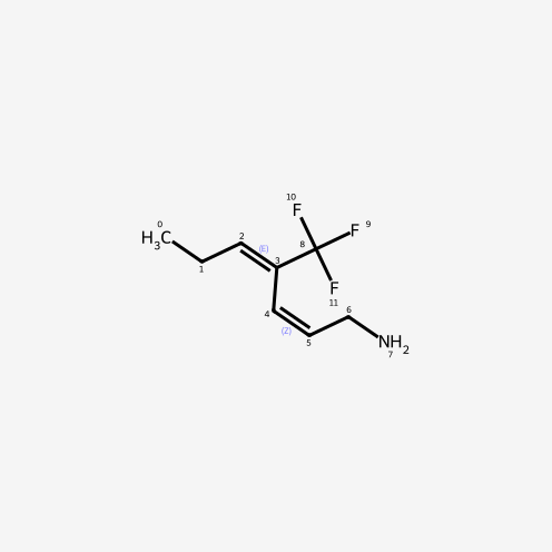 CC/C=C(\C=C/CN)C(F)(F)F